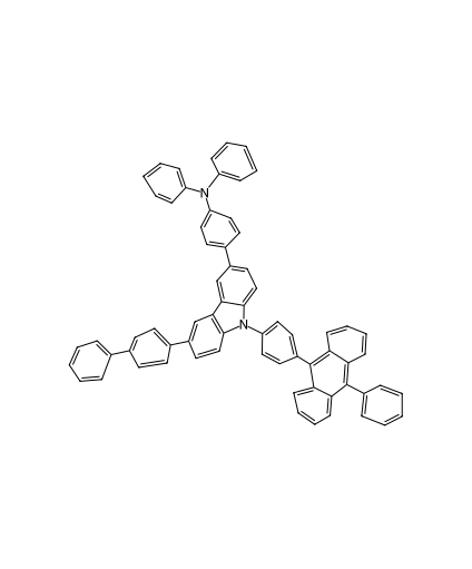 c1ccc(-c2ccc(-c3ccc4c(c3)c3cc(-c5ccc(N(c6ccccc6)c6ccccc6)cc5)ccc3n4-c3ccc(-c4c5ccccc5c(-c5ccccc5)c5ccccc45)cc3)cc2)cc1